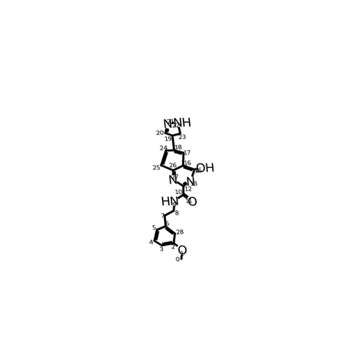 COc1cccc(CCNC(=O)c2nc(O)c3cc(C4C=NNC4)ccc3n2)c1